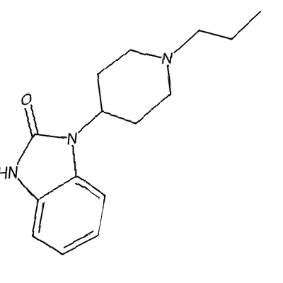 CCCN1CCC(n2c(=O)[nH]c3ccccc32)CC1